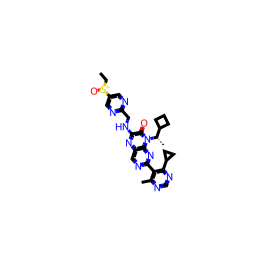 CC[S+]([O-])c1cnc(CNc2nc3cnc(-c4c(C)ncnc4C4CC4)nc3n([C@@H](C)C3CCC3)c2=O)nc1